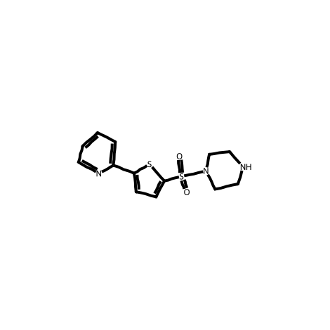 O=S(=O)(c1ccc(-c2ccccn2)s1)N1CCNCC1